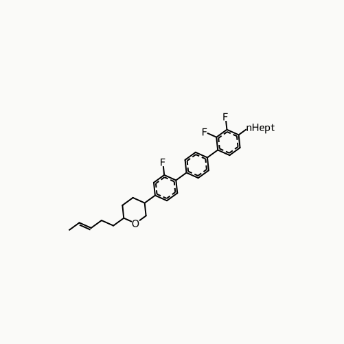 C/C=C/CCC1CCC(c2ccc(-c3ccc(-c4ccc(CCCCCCC)c(F)c4F)cc3)c(F)c2)CO1